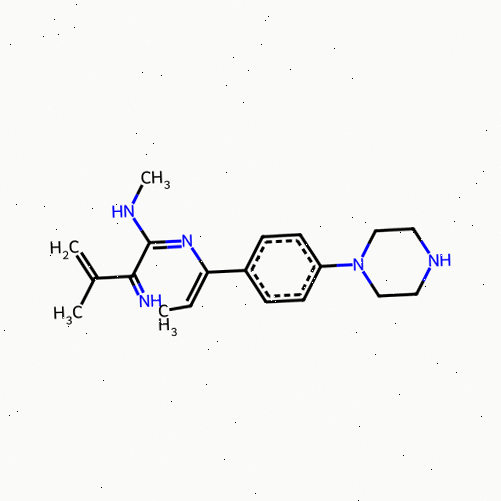 C=C(C)C(=N)/C(=N\C(=C/C)c1ccc(N2CCNCC2)cc1)NC